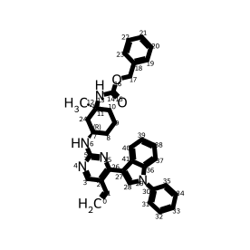 C=Cc1cnc(N[C@@H]2CCC[C@](C)(NC(=O)OCc3ccccc3)C2)nc1-c1cn(-c2ccccc2)c2ccccc12